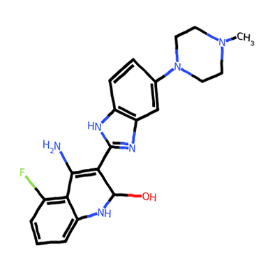 CN1CCN(c2ccc3[nH]c(C4=C(N)c5c(F)cccc5NC4O)nc3c2)CC1